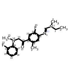 CCN(C)/C=N/c1cc(C)c(C(=O)CN(C)c2ccccc2F)cc1F